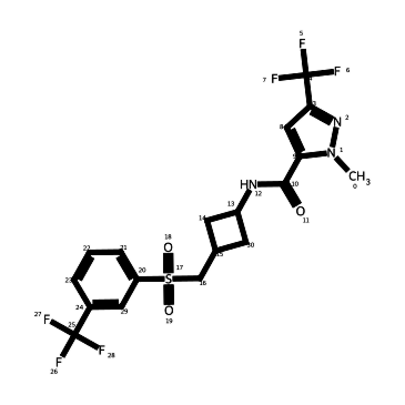 Cn1nc(C(F)(F)F)cc1C(=O)NC1CC(CS(=O)(=O)c2cccc(C(F)(F)F)c2)C1